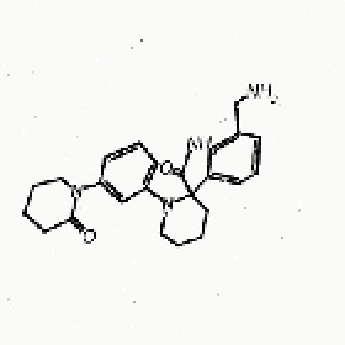 NCc1cccc(C2(C(N)=O)CCCCN2c2cccc(N3CCCCC3=O)c2)c1